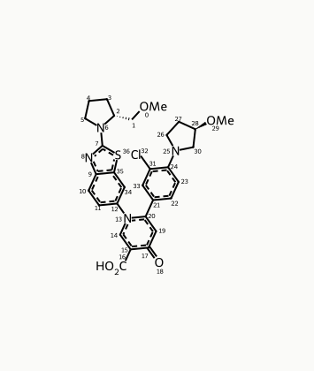 COC[C@H]1CCCN1c1nc2ccc(-n3cc(C(=O)O)c(=O)cc3-c3ccc(N4CC[C@@H](OC)C4)c(Cl)c3)cc2s1